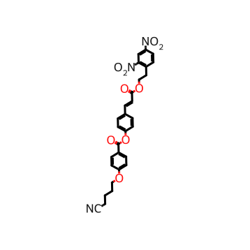 N#CCCCCOc1ccc(C(=O)Oc2ccc(/C=C/C(=O)OCCc3ccc([N+](=O)[O-])cc3[N+](=O)[O-])cc2)cc1